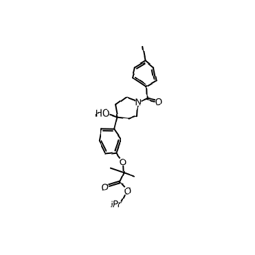 Cc1ccc(C(=O)N2CCC(O)(c3cccc(OC(C)(C)C(=O)OC(C)C)c3)CC2)cc1